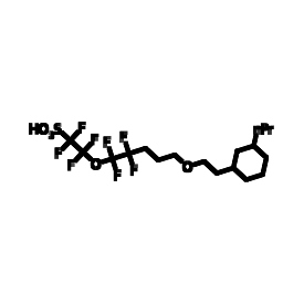 CCCC1CCCC(CCOCCCC(F)(F)C(F)(F)OC(F)(F)C(F)(F)S(=O)(=O)O)C1